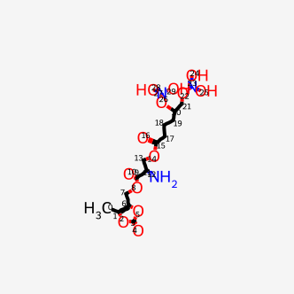 Cc1oc(=O)oc1COC(=O)C(N)COC(=O)CCCC(CON(O)O)ON(O)O